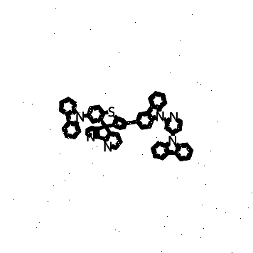 c1cnc2c(c1)C1(c3ccc(-c4ccc5c(c4)c4ccccc4n5-c4cc(-n5c6ccccc6c6ccccc65)ccn4)cc3Sc3ccc(-n4c5ccccc5c5ccccc54)cc31)c1cccnc1-2